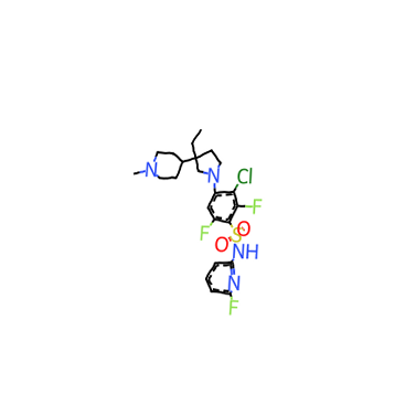 CCC1(C2CCN(C)CC2)CCN(c2cc(F)c(S(=O)(=O)Nc3cccc(F)n3)c(F)c2Cl)C1